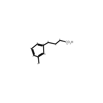 Cc1cccc(CCCC(=O)O)c1